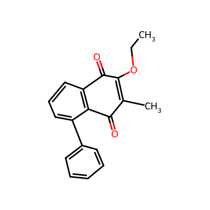 CCOC1=C(C)C(=O)c2c(cccc2-c2ccccc2)C1=O